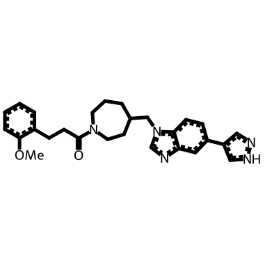 COc1ccccc1CCC(=O)N1CCCC(Cn2cnc3cc(-c4cn[nH]c4)ccc32)CC1